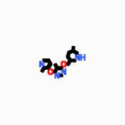 Cc1ncccc1Oc1ncnc(OCC2CCC(C)CNC2)c1C